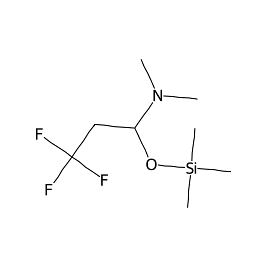 CN(C)C(CC(F)(F)F)O[Si](C)(C)C